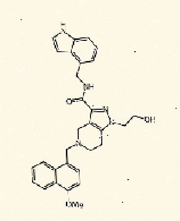 COc1ccc(CN2CCc3c(c(C(=O)NCc4cccc5[nH]ccc45)nn3CCO)C2)c2ccccc12